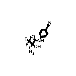 CC(O)(C(=O)Nc1ccc(C#N)cc1)C(F)(F)F